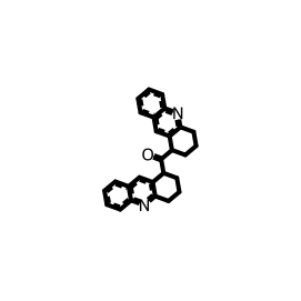 O=C(C1CCCc2nc3ccccc3cc21)C1CCCc2nc3ccccc3cc21